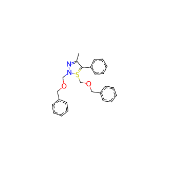 CC1=NN(COCc2ccccc2)S(COCc2ccccc2)=C1c1ccccc1